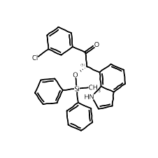 C[Si](O[C@H](C(=O)c1cccc(Cl)c1)c1cccc2cc[nH]c12)(c1ccccc1)c1ccccc1